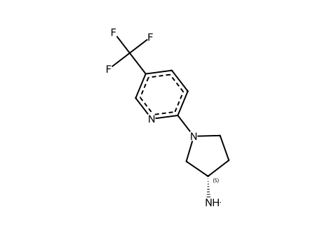 [NH][C@H]1CCN(c2ccc(C(F)(F)F)cn2)C1